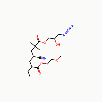 CCC(CC(C#N)CC(C)(C)C(=O)OCC(O)CN=[N+]=[N-])C(=O)OCCOC